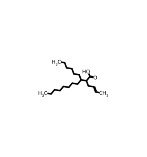 CC=CCC(C(=O)O)C(CCCCCC)CCCCCCCC